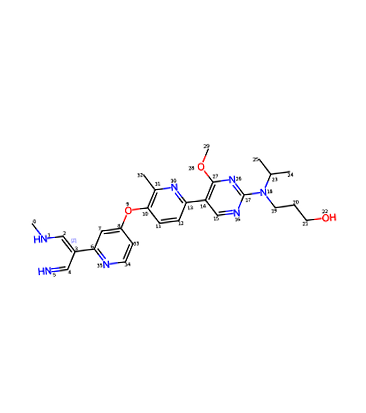 CN/C=C(\C=N)c1cc(Oc2ccc(-c3cnc(N(CCCO)C(C)C)nc3OC)nc2C)ccn1